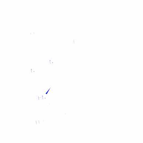 O=Cc1cnc2n1C[C@H](c1cccc(F)c1F)CC[C@H]2NC(=O)O